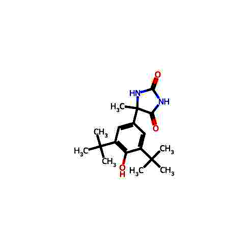 CC(C)(C)c1cc(C2(C)NC(=O)NC2=O)cc(C(C)(C)C)c1O